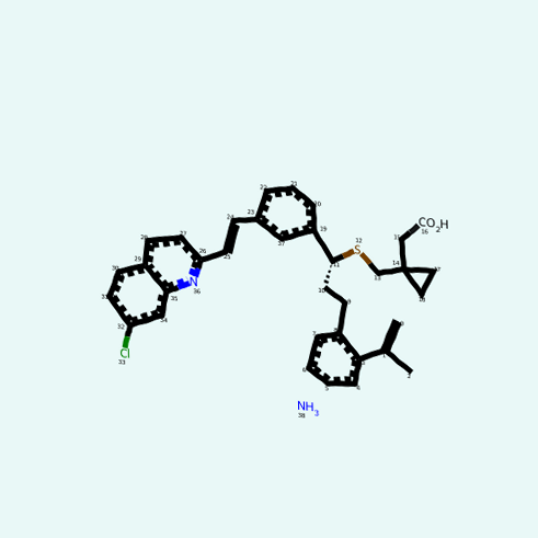 C=C(C)c1ccccc1CC[C@@H](SCC1(CC(=O)O)CC1)c1cccc(/C=C/c2ccc3ccc(Cl)cc3n2)c1.N